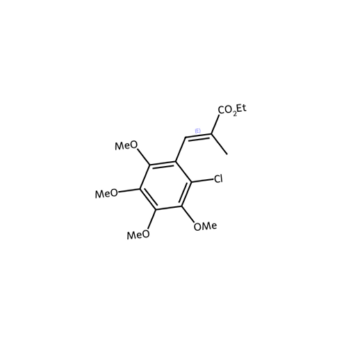 CCOC(=O)/C(C)=C/c1c(Cl)c(OC)c(OC)c(OC)c1OC